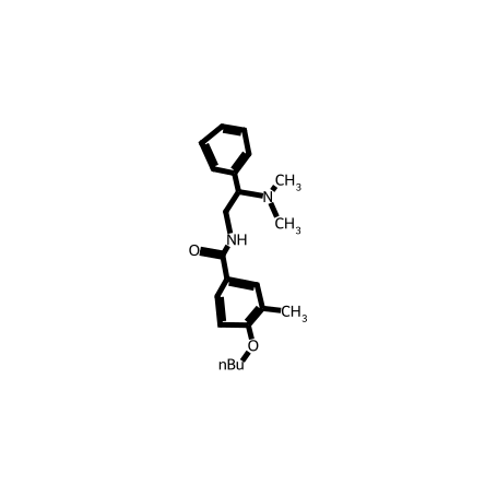 CCCCOc1ccc(C(=O)NCC(c2ccccc2)N(C)C)cc1C